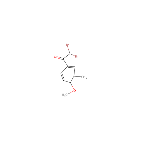 COC1C=CC(C(=O)C(Br)Br)=CC1C